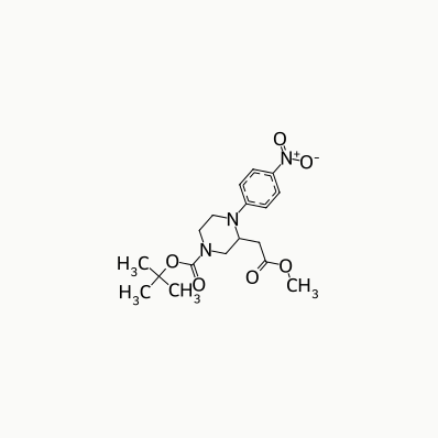 COC(=O)CC1CN(C(=O)OC(C)(C)C)CCN1c1ccc([N+](=O)[O-])cc1